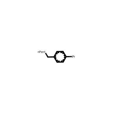 CCCCC[CH]c1ccc(C(C)C)cc1